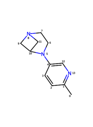 Cc1ccc(N2CCN3CC2C3)cn1